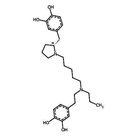 CCCN(CCCCCN1CCC[C@@H]1Cc1ccc(O)c(O)c1)CCc1ccc(O)c(O)c1